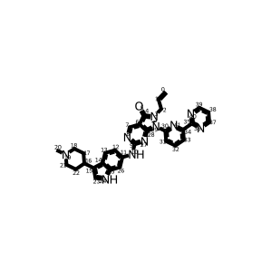 C=CCn1c(=O)c2cnc(Nc3ccc4c(C5CCN(C)CC5)c[nH]c4c3)nc2n1-c1cccc(-c2ncccn2)n1